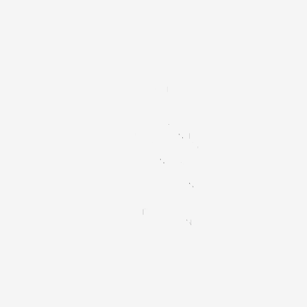 CC#CC1(N)[C@@H](O)[C@@H]([C@H](C)O)O[C@H]1n1cc(F)c(N)nc1=O